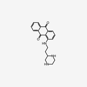 O=C1c2ccccc2C(=O)c2c(NCCC3CNCCN3)cccc21